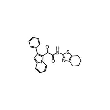 O=C(Nc1nc2c(s1)CCCC2)C(=O)c1c(-c2ccccc2)cc2ccccn12